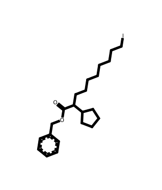 O=C(OCc1ccccc1)C(CCCCCCCCI)C1CCCC1